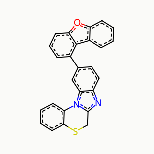 c1ccc2c(c1)SCc1nc3ccc(-c4cccc5oc6ccccc6c45)cc3n1-2